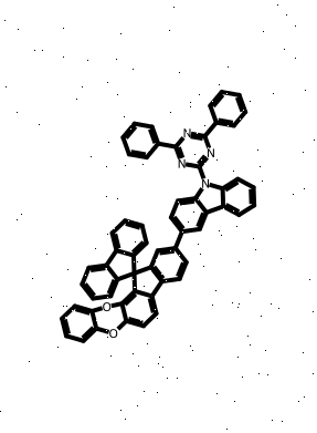 c1ccc(-c2nc(-c3ccccc3)nc(-n3c4ccccc4c4cc(-c5ccc6c(c5)C5(c7ccccc7-c7ccccc75)c5c-6ccc6c5Oc5ccccc5O6)ccc43)n2)cc1